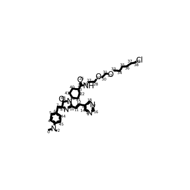 CN(C)c1ccc(/C=C2N=C(/C=C/c3cncnc3)N(C3CCC(C(=O)NCCOCCOCCCCCCCl)CC3)C\2=O)cc1